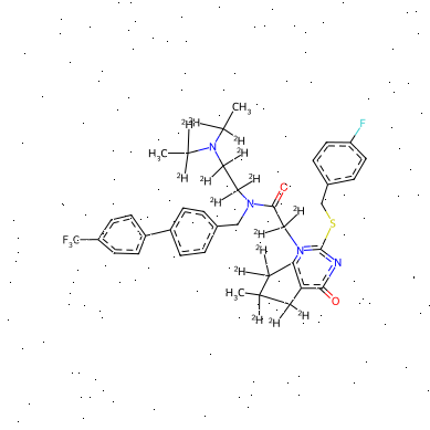 [2H]C([2H])(C)N(C([2H])([2H])C)C([2H])([2H])C([2H])([2H])N(Cc1ccc(-c2ccc(C(F)(F)F)cc2)cc1)C(=O)C([2H])([2H])n1c(SCc2ccc(F)cc2)nc(=O)c2c1C([2H])([2H])C([2H])(C)C2([2H])[2H]